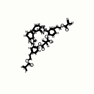 C=C(C)C(=O)OCCc1ccc(OC(=O)C(C)(C)C(=O)Oc2ccc(CCOC(=O)C(=C)C)cc2-n2nc3ccccc3n2)c(-n2nc3ccccc3n2)c1